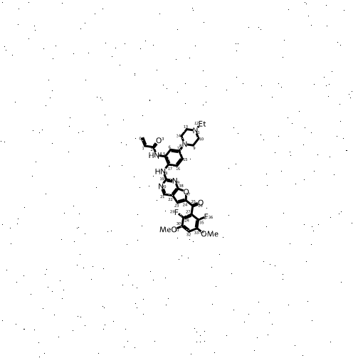 C=CC(=O)Nc1cc(N2CCN(CC)CC2)ccc1Nc1ncc2cc(C(=O)c3c(F)c(OC)cc(OC)c3F)oc2n1